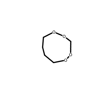 C1CCOOCOOC1